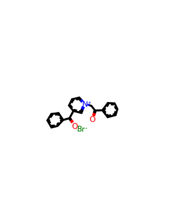 O=C(C[n+]1cccc(C(=O)c2ccccc2)c1)c1ccccc1.[Br-]